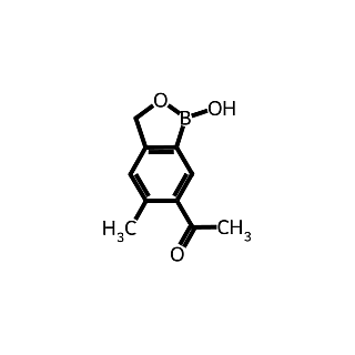 CC(=O)c1cc2c(cc1C)COB2O